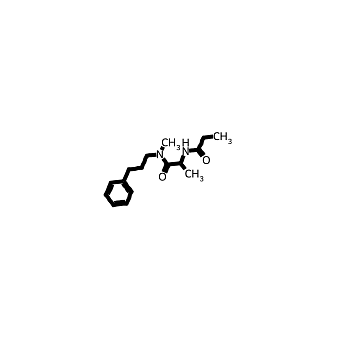 CCC(=O)NC(C)C(=O)N(C)CCCc1ccccc1